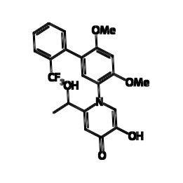 COc1cc(OC)c(-n2cc(O)c(=O)cc2C(C)O)cc1-c1ccccc1C(F)(F)F